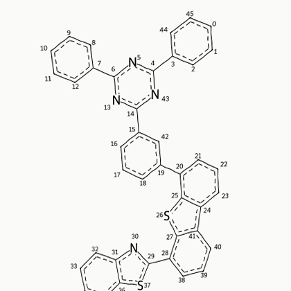 c1ccc(-c2nc(-c3ccccc3)nc(-c3cccc(-c4cccc5c4sc4c(-c6nc7ccccc7s6)cccc45)c3)n2)cc1